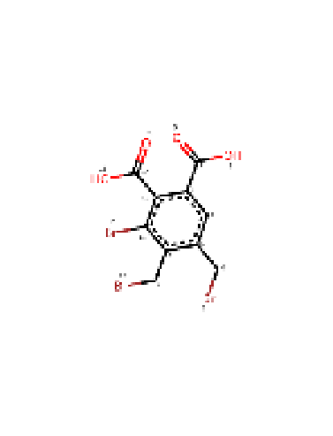 O=C(O)c1cc(CBr)c(CBr)c(Br)c1C(=O)O